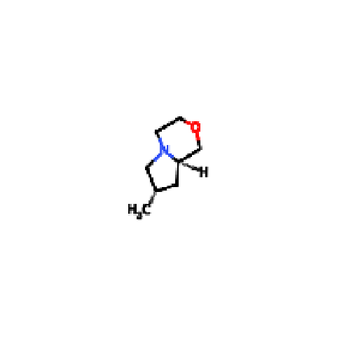 C[C@H]1C[C@@H]2COCCN2C1